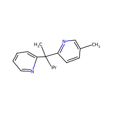 Cc1ccc(C(C)(c2ccccn2)C(C)C)nc1